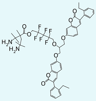 CCc1ccccc1-c1cc2ccc(OCC(COc3ccc4cc(-c5ccccc5CC)c(=O)oc4c3)OCC(F)(F)C(F)(F)C(F)(F)COC(=O)C(C)(CC(C)(C)N)C(C)(C)N)cc2oc1=O